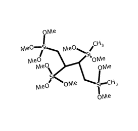 CO[Si](C)(CC(C(C[Si](OC)(OC)OC)[Si](OC)(OC)OC)[Si](C)(OC)OC)OC